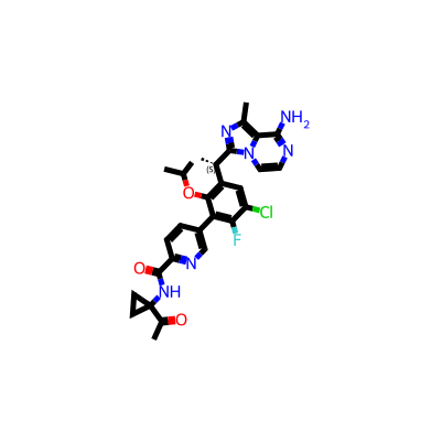 CC(=O)C1(NC(=O)c2ccc(-c3c(F)c(Cl)cc([C@H](C)c4nc(C)c5c(N)nccn45)c3OC(C)C)cn2)CC1